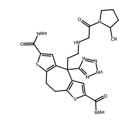 CNC(=O)c1cc2c(s1)CCc1sc(C(=O)NC)cc1C2(CCNCC(=O)N1CCCC1C#N)c1nn[nH]n1